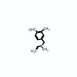 C=CB(C)Cc1ccc(C=O)c(C)c1